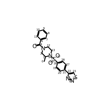 CC1CN(C(=O)c2ccccc2)CCN1S(=O)(=O)c1ccc(-c2csnn2)cc1